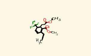 CCc1ccc(C(F)(F)F)c(CCC(=O)OC)c1C(=O)OC